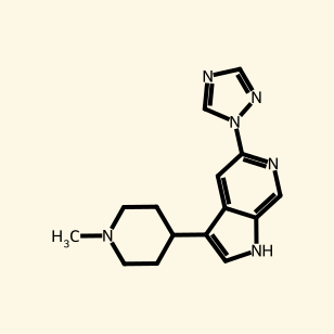 CN1CCC(c2c[nH]c3cnc(-n4cncn4)cc23)CC1